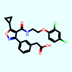 O=C(O)Cc1cccc(-c2noc(C3CC3)c2C(=O)NCCOc2ccc(Cl)cc2Cl)c1